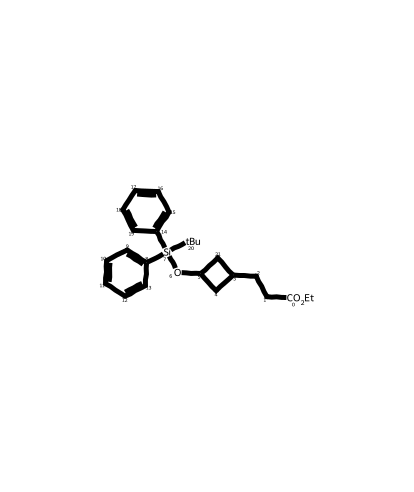 CCOC(=O)CCC1CC(O[Si](c2ccccc2)(c2ccccc2)C(C)(C)C)C1